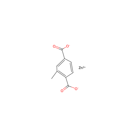 Cc1cc(C(=O)[O-])ccc1C(=O)[O-].[Zn+2]